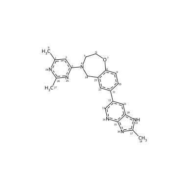 Cc1cc(N2CCOc3ccc(-c4cnc5nc(C)[nH]c5c4)cc3C2)nc(C)n1